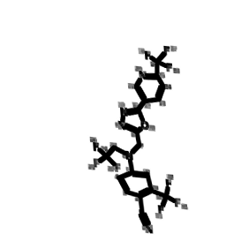 N#Cc1ccc(N(Cc2nnc(-c3ccc(C(F)(F)F)nc3)o2)CC(F)(F)F)cc1C(F)(F)F